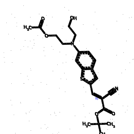 CC(=O)OCCN(CCO)c1ccc2cc(/C=C(\C#N)C(=O)OC(C)(C)C)sc2c1